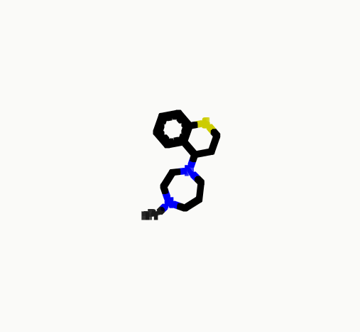 CCCN1CCCN(C2CCSc3ccccc32)CC1